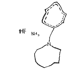 F.N.c1ccc(N2CCCCC2)cc1